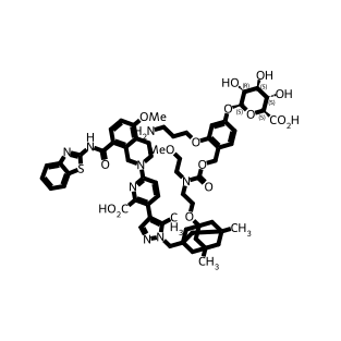 COCCN(CCOC12CC3(C)CC(C)(CC(Cn4ncc(-c5ccc(N6CCc7c(OC)ccc(C(=O)Nc8nc9ccccc9s8)c7C6)nc5C(=O)O)c4C)(C3)C1)C2)C(=O)OCc1ccc(O[C@@H]2O[C@H](C(=O)O)[C@@H](O)[C@H](O)[C@H]2O)cc1OCCCN